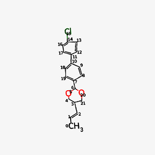 C/C=C/C1COC(c2ccc(-c3ccc(Cl)cc3)cc2)OC1